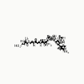 CC(O)(CCC(=O)O)C(=O)SCCNC(=O)CCNC(=O)[C@H](O)C(C)(C)COP(=O)(O)OP(=O)(O)OC[C@H]1O[C@@H](n2cnc3c(N)ncnc32)[C@H](O)[C@@H]1OP(=O)(O)O